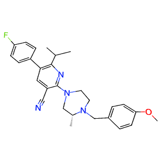 COc1ccc(CN2CCN(c3nc(C(C)C)c(-c4ccc(F)cc4)cc3C#N)C[C@H]2C)cc1